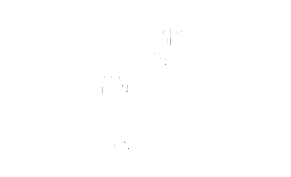 CCCCCNC(=O)[C@@H](N)Cc1cccc(N2[C@@H](Cc3ccc(OC)cc3)C(=O)NS2(=O)=O)c1